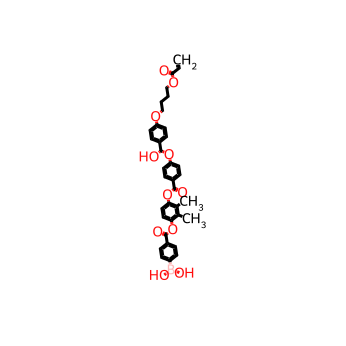 C=CC(=O)OCCCCOc1ccc(C(O)Oc2ccc(C(=O)Oc3ccc(OC(=O)c4ccc(B(O)O)cc4)c(C)c3C)cc2)cc1